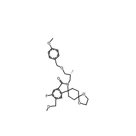 COCc1cc2c(cc1F)C(=O)N(C[C@@H](C)COCc1ccc(OC)cc1)C21CCC2(CC1)OCCO2